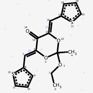 CCOC1(C)O/C(=C\c2cccs2)C(=O)/C(=C/c2cccs2)O1